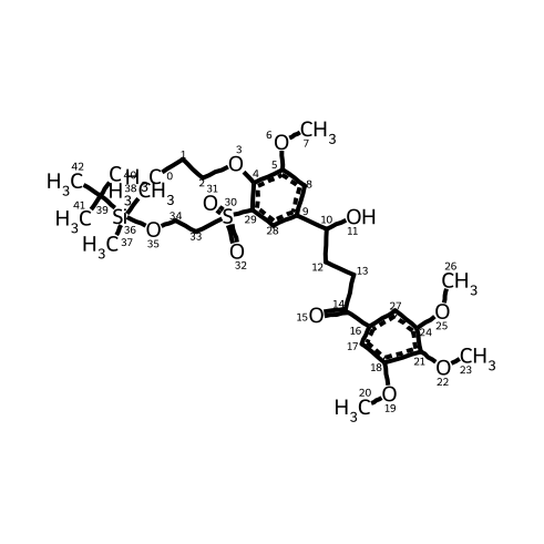 CCCOc1c(OC)cc(C(O)CCC(=O)c2cc(OC)c(OC)c(OC)c2)cc1S(=O)(=O)CCO[Si](C)(C)C(C)(C)C